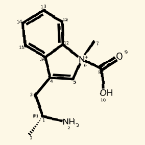 C[C@@H](N)CC1=C[N+](C)(C(=O)O)c2ccccc21